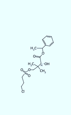 CC(OC(=O)[C@H](O)C(C)(C)COS(=O)(=O)CCCCl)c1ccccc1